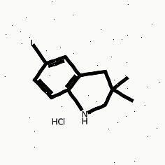 CC1(C)CNc2ccc(I)cc2C1.Cl